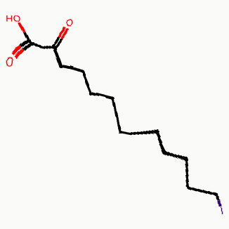 O=C(O)C(=O)CCCCCCCCCCI